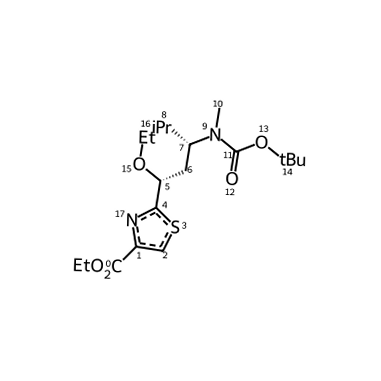 CCOC(=O)c1csc([C@@H](C[C@H](C(C)C)N(C)C(=O)OC(C)(C)C)OCC)n1